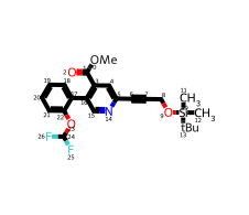 COC(=O)c1cc(C#CCO[Si](C)(C)C(C)(C)C)ncc1-c1ccccc1OC(F)F